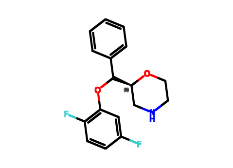 Fc1ccc(F)c(OC(c2ccccc2)[C@@H]2CNCCO2)c1